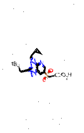 CC(C)(C)Cc1nc2cc(S(=O)(=O)CC(=O)O)cnc2n1CC1CC1